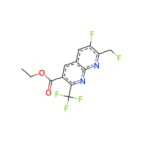 CCOC(=O)c1cc2cc(F)c(CF)nc2nc1C(F)(F)F